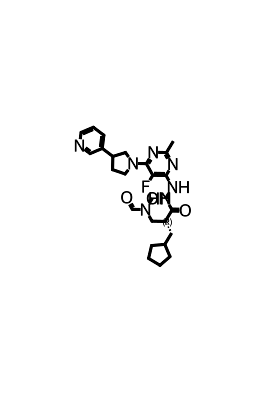 Cc1nc(NNC(=O)[C@H](CC2CCCC2)CN(O)C=O)c(F)c(N2CCC(c3cccnc3)C2)n1